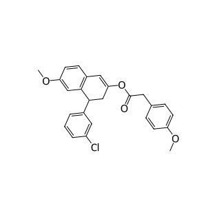 COc1ccc(CC(=O)OC2=Cc3ccc(OC)cc3C(c3cccc(Cl)c3)C2)cc1